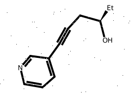 CC[C@@H](O)CC#Cc1cccnc1